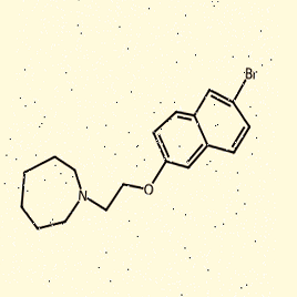 Brc1ccc2cc(OCCN3CCCCCC3)ccc2c1